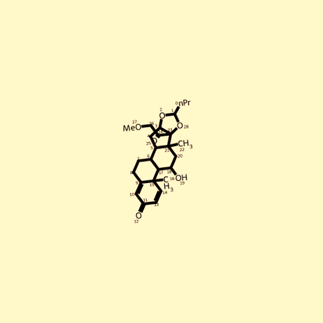 CCCC1OC2CC3C4CCC5=CC(=O)C=CC5(C)C4C(O)CC3(C)C2(C(=O)COC)O1